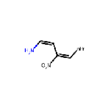 CCC/C=C(\C=C/N)[N+](=O)[O-]